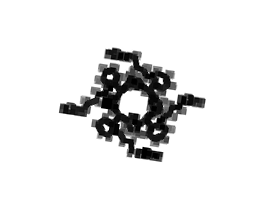 CCCCCCCCCCCCCCN1CC=CC=C1c1c2nc(c(C3=CC=CCN3CCCCCCCCCCCCCC)c3ccc([nH]3)c(C3=CC=CCN3CCCCCCCCCCCCCC)c3nc(c(C4=CC=CCN4CCCCCCCCCCCCCC)c4ccc1[nH]4)C=C3)C=C2